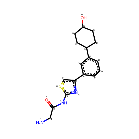 NCC(=O)Nc1nc(-c2cccc(C3CCC(O)CC3)c2)cs1